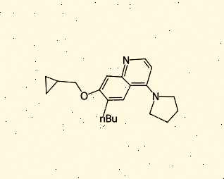 CCCCc1cc2c(N3CCCC3)ccnc2cc1OCC1CC1